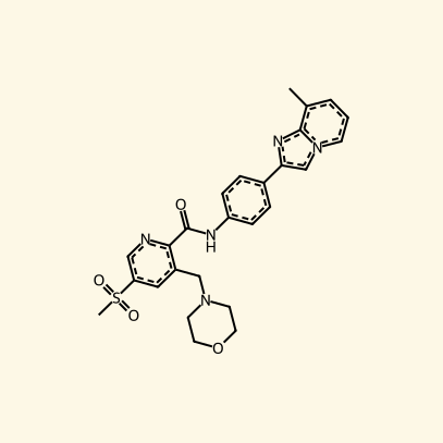 Cc1cccn2cc(-c3ccc(NC(=O)c4ncc(S(C)(=O)=O)cc4CN4CCOCC4)cc3)nc12